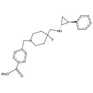 COC(=O)c1ccc(CN2CCC(F)(CN[C@@H]3C[C@H]3c3ccccc3)CC2)cc1